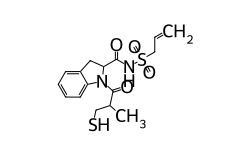 C=CCS(=O)(=O)NC(=O)C1Cc2ccccc2N1C(=O)C(C)CS